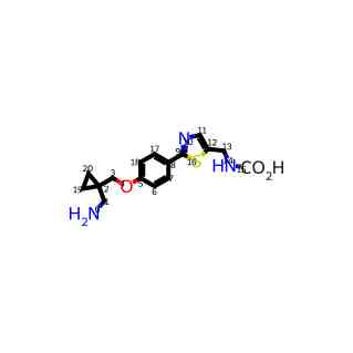 NCC1(COc2ccc(-c3ncc(CNC(=O)O)s3)cc2)CC1